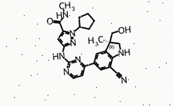 CNC(=O)c1cc(Nc2nccc(-c3cc(C#N)c4c(c3)[C@@](C)(CO)CN4)n2)nn1C1CCCC1